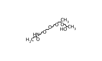 C=CC(=O)NCCOCCOCCOCC(C)OCC(C)O